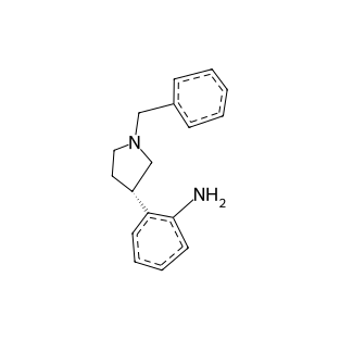 Nc1ccccc1[C@@H]1CCN(Cc2ccccc2)C1